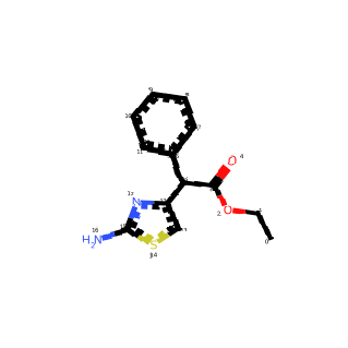 CCOC(=O)C(c1ccccc1)c1csc(N)n1